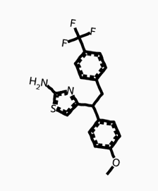 COc1ccc(C(Cc2ccc(C(F)(F)F)cc2)c2csc(N)n2)cc1